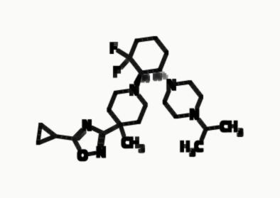 CC(C)N1CCN([C@H]2CCCC(F)(F)[C@@H]2N2CCC(C)(c3noc(C4CC4)n3)CC2)CC1